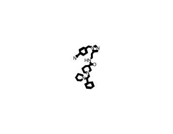 N#Cc1ccc(Cn2cncc2CCNC(=O)C2CCCN(CC(c3ccccc3)N3CCCCC3)C2)cc1